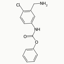 NCc1cc(NC(=O)Oc2ccccc2)ccc1Cl